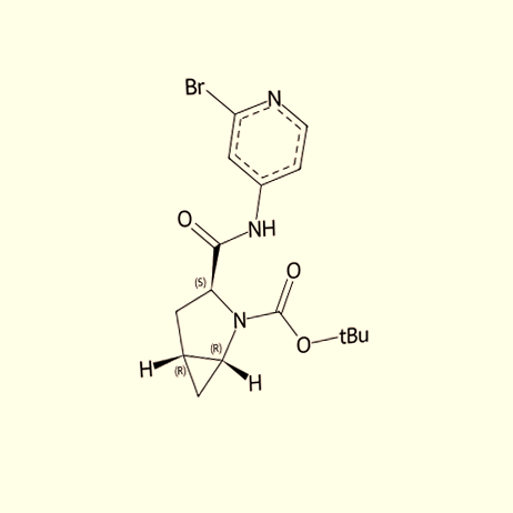 CC(C)(C)OC(=O)N1[C@@H]2C[C@@H]2C[C@H]1C(=O)Nc1ccnc(Br)c1